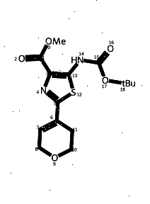 COC(=O)c1nc(C2=CCOCC2)sc1NC(=O)OC(C)(C)C